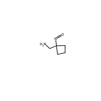 NCC1(N=O)CCC1